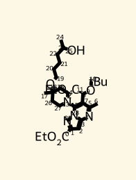 CCOC(=O)c1cc2nc(C)c([C@H](OC(C)(C)C)C(=O)OCC)c(N3CCC(C)(OCCCCC(C)O)CC3)n2n1